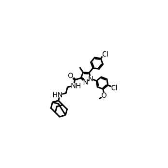 COc1cc(-n2nc(C(=O)NCCNC3C4CC5CC(C4)CC3C5)c(C)c2-c2ccc(Cl)cc2)ccc1Cl